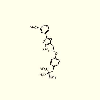 COc1cccc(-c2nc(CCOc3ccc(CC(C)(OC)C(=O)O)cn3)c(C)o2)c1